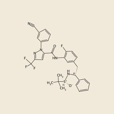 CC(C)(C)[S@@+]([O-])N[C@H](Cc1ccc(F)c(NC(=O)c2cc(C(F)(F)F)nn2-c2cccc(C#N)c2)c1)c1ccccc1